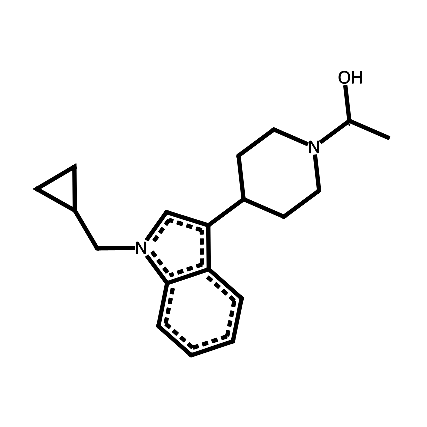 C[C](O)N1CCC(c2cn(CC3CC3)c3ccccc23)CC1